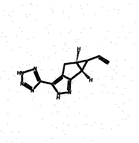 C=CC1[C@@H]2Cc3c(n[nH]c3-c3nn[nH]n3)[C@@H]12